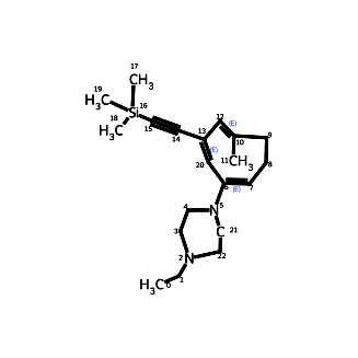 CCN1CCN(C2=C/CC/C(C)=C/C(C#C[Si](C)(C)C)=C\2)CC1